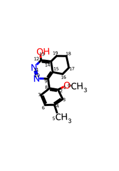 COc1cc(C)ccc1-c1nnc(O)c2c1CCCC2